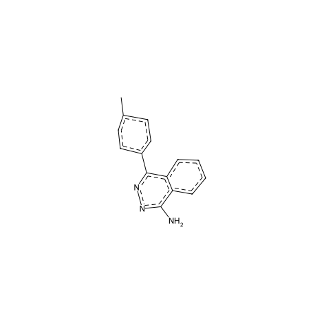 Cc1ccc(-c2nnc(N)c3ccccc23)cc1